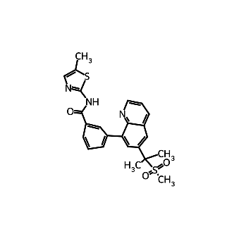 Cc1cnc(NC(=O)c2cccc(-c3cc(C(C)(C)S(C)(=O)=O)cc4cccnc34)c2)s1